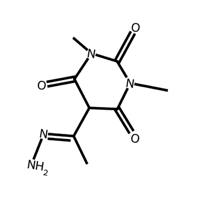 C/C(=N\N)C1C(=O)N(C)C(=O)N(C)C1=O